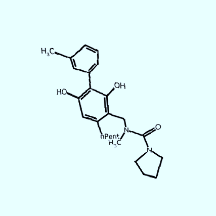 CCCCCc1cc(O)c(-c2cccc(C)c2)c(O)c1CN(C)C(=O)N1CCCC1